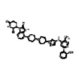 Cn1c(=O)n(C2CCC(=O)NC2=O)c2cccc(C3CCC(N4CCC(n5cc(Nc6cc(-c7ccccc7O)nnc6N)cn5)CC4)CC3)c21